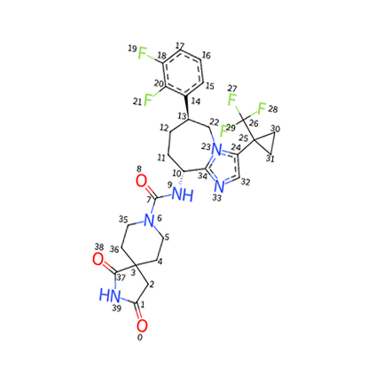 O=C1CC2(CCN(C(=O)N[C@@H]3CC[C@@H](c4cccc(F)c4F)Cn4c(C5(C(F)(F)F)CC5)cnc43)CC2)C(=O)N1